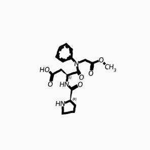 COC(=O)CN(C(=O)[C@H](CC(=O)O)NC(=O)[C@H]1CCCN1)c1ccccc1